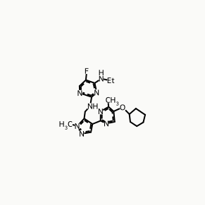 CCNc1nc(NCc2c(-c3ncc(OC4CCCCC4)c(C)n3)cnn2C)ncc1F